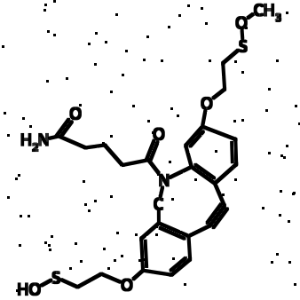 COSCCOc1ccc2c(c1)N(C(=O)CCCC(N)=O)Cc1cc(OCCSO)ccc1C#C2